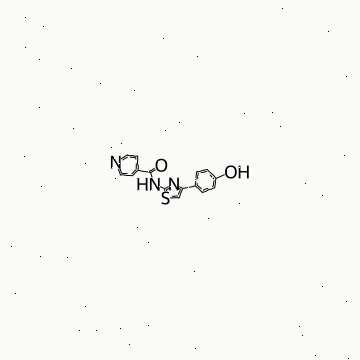 O=C(Nc1nc(-c2ccc(O)cc2)cs1)c1ccncc1